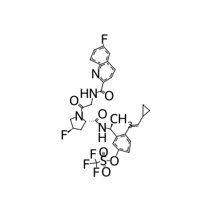 C[C@H](NC(=O)[C@@H]1C[C@@H](F)CN1C(=O)CNC(=O)c1ccc2cc(F)ccc2n1)c1cc(OS(=O)(=O)C(F)(F)F)ccc1/C=C/C1CC1